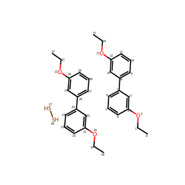 CCOc1cccc(-c2cccc(OCC)c2)c1.CCOc1cccc(-c2cccc(OCC)c2)c1.SS